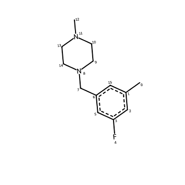 Cc1cc(F)cc(CN2CCN(C)CC2)c1